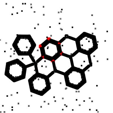 c1ccc([Si]2(c3ccccc3)c3ccccc3N(c3cccc4c3B3c5ccccc5Oc5cccc(c53)S4)c3ccccc32)cc1